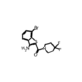 Nc1c(C(=O)N2CCC(F)(F)CC2)sc2c(Br)cccc12